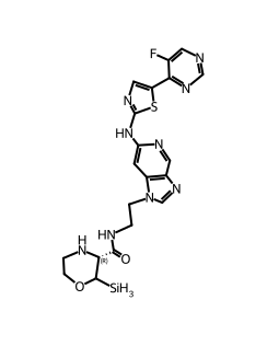 O=C(NCCn1cnc2cnc(Nc3ncc(-c4ncncc4F)s3)cc21)[C@H]1NCCOC1[SiH3]